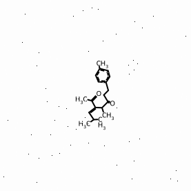 CC(=O)/C(=C/C(C)C)C(C)C(=O)CCc1ccc(C)cc1